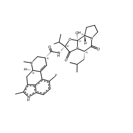 Cc1[nH]c2ccc(F)c3c2c1C[C@@H]1C3=C[C@@H](C(=O)N[C@]2(C(C)C)O[C@@]3(O)[C@@H]4CCCN4C(=O)[C@H](CC(C)C)N3C2=O)CN1C